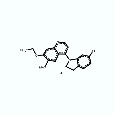 COc1cc2c(N3CCc4ccc(Cl)cc43)ncnc2cc1OCC(=O)O.[Li]